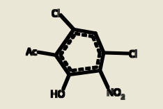 CC(=O)c1c(Cl)cc(Cl)c([N+](=O)[O-])c1O